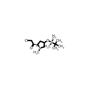 CN1CC(O[Si](C)(C)C(C)(C)C)C[C@@H]1C(=O)CCl